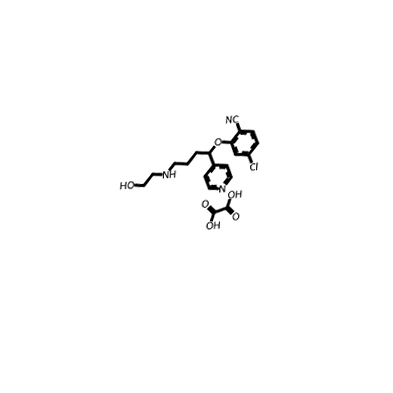 N#Cc1ccc(Cl)cc1OC(CCCNCCO)c1ccncc1.O=C(O)C(=O)O